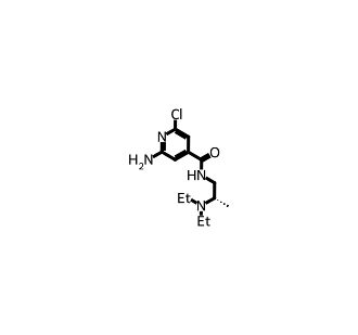 CCN(CC)[C@@H](C)CNC(=O)c1cc(N)nc(Cl)c1